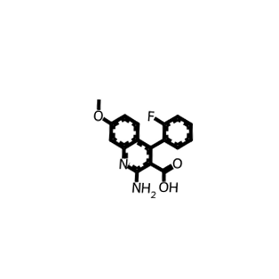 COc1ccc2c(-c3ccccc3F)c(C(=O)O)c(N)nc2c1